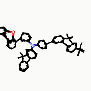 CC(C)(C)c1ccc2c(c1)C(C)(C)c1ccc(-c3ccc(N(c4cccc(-c5cccc6c5oc5ccccc56)c4)c4ccc5c(c4)C(C)(C)c4ccccc4-5)cc3)cc1-2